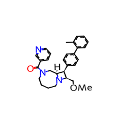 COC[C@@H]1[C@H](c2ccc(-c3ccccc3C)cc2)[C@@H]2CN(C(=O)c3cccnc3)CCCCN12